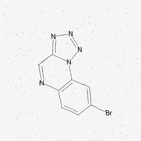 Brc1ccc2ncc3nnnn3c2c1